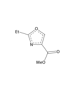 CCc1nc(C(=O)OC)co1